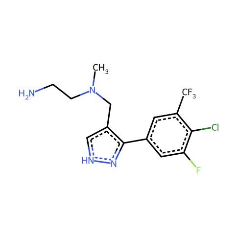 CN(CCN)Cc1c[nH]nc1-c1cc(F)c(Cl)c(C(F)(F)F)c1